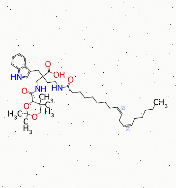 CCCCC/C=C\C/C=C\CCCCCCCC(=O)NCCC(CNC(=O)C1OC(C)(C)OCC1(C)C)(Cc1c[nH]c2ccccc12)C(=O)O